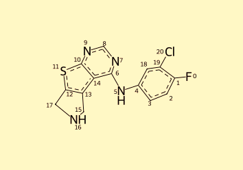 Fc1ccc(Nc2ncnc3sc4c(c23)CNC4)cc1Cl